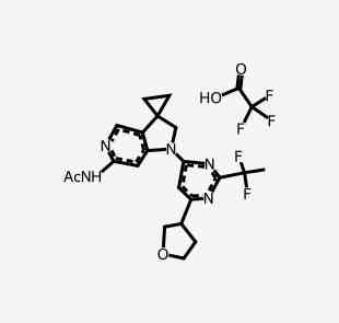 CC(=O)Nc1cc2c(cn1)C1(CC1)CN2c1cc(C2CCOC2)nc(C(C)(F)F)n1.O=C(O)C(F)(F)F